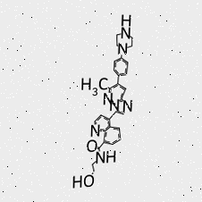 Cc1nn2c(-c3ccnc4c(C(=O)NCCO)cccc34)cnc2cc1-c1ccc(N2CCNCC2)cc1